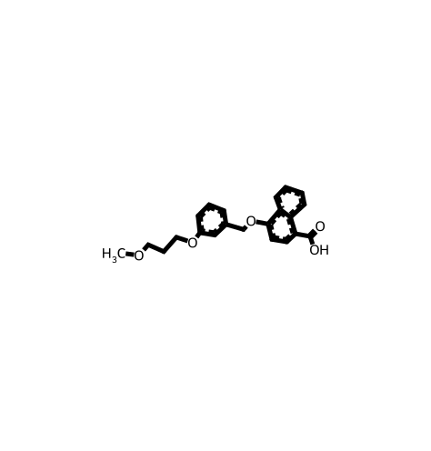 COCCCOc1cccc(COc2ccc(C(=O)O)c3ccccc23)c1